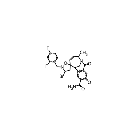 CC1C=CC2(CC(Br)N(Cc3ccc(F)cc3F)O2)C2CN1C(=O)c1cc(=O)c(C(N)=O)cn12